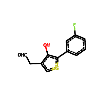 O=CCc1csc(-c2cccc(F)c2)c1O